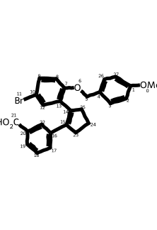 COc1ccc(COc2ccc(Br)cc2C2=C(c3cccc(C(=O)O)c3)CCC2)cc1